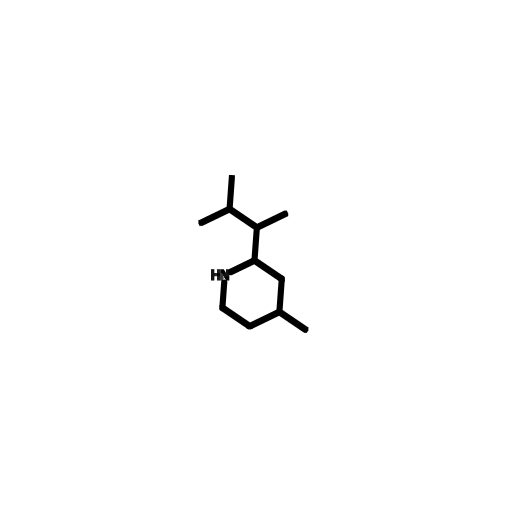 CC1CCNC(C(C)C(C)C)C1